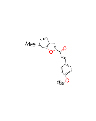 CSc1ccc2cc(C(=O)C=Cc3ccc(OC(C)(C)C)cc3)oc2c1